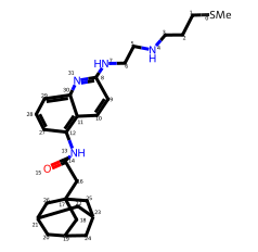 CSCCCNCCNc1ccc2c(NC(=O)CC34CC5CC(CC(C5)C3)C4)cccc2n1